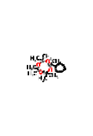 C[Si]1(C)O[Si](C)(C)O[Si](C)(c2ccccc2)O[Si](C)(C)O1